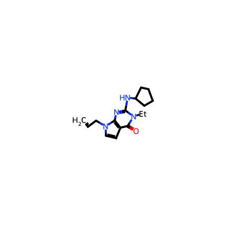 C=CCn1ccc2c(=O)n(CC)c(NC3CCCC3)nc21